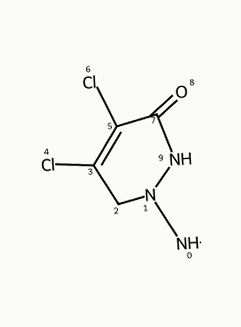 [NH]N1CC(Cl)=C(Cl)C(=O)N1